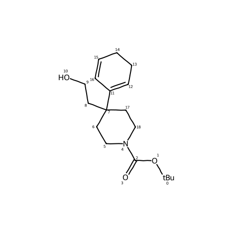 CC(C)(C)OC(=O)N1CCC(CCO)(C2=CCCC=C2)CC1